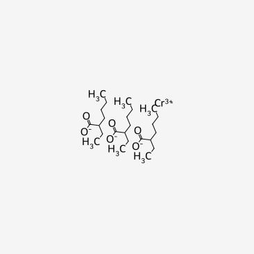 CCCCC(CC)C(=O)[O-].CCCCC(CC)C(=O)[O-].CCCCC(CC)C(=O)[O-].[Cr+3]